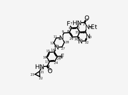 CCN1C(=O)Nc2c(F)c(CN3CCN(c4ccc(C(=O)NC5CC5)cc4F)CC3)cc3ncnc1c23